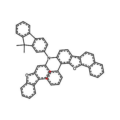 CC1(C)c2ccccc2-c2ccc(N(c3ccc4c(c3)oc3ccccc34)c3ccc4c(oc5c6ccccc6ccc45)c3-c3ccccc3)cc21